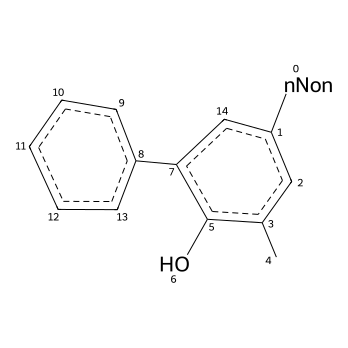 CCCCCCCCCc1cc(C)c(O)c(-c2ccccc2)c1